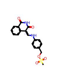 CS(=O)(=O)OCc1ccc(N/C=C2\C(=O)NC(=O)c3ccccc32)cc1